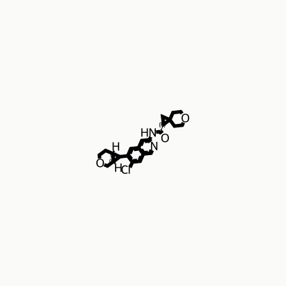 O=C(Nc1cc2cc(C3[C@H]4CCOC[C@@H]34)c(Cl)cc2cn1)[C@@H]1CC12CCOCC2